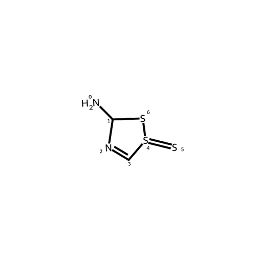 NC1N=CS(=S)S1